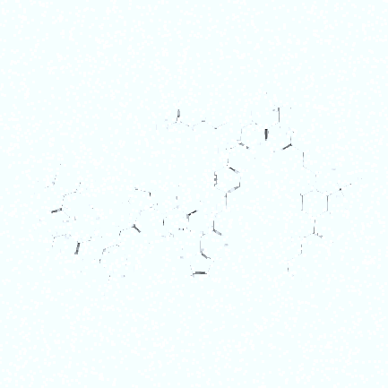 CCCNC(=O)C1CCN(CCCC(=O)N[C@H](C(=O)N[C@@H](CCCNC(N)=O)C(=O)Nc2ccc(CNC(=O)[C@@H](NC(=O)[C@H](C)[C@@H](OC)[C@@H]3CCCN3C(=O)C[C@@H](OC)[C@H]([C@@H](C)CC)N(C)C(=O)[C@@H](NC(=O)[C@H](C(C)C)N(C)C)C(C)C)c3nccs3)cc2)C(C)C)C(C(F)(F)F)C1